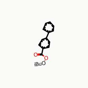 CC(C)[CH]OOC(=O)c1ccc(-c2ccccc2)cc1